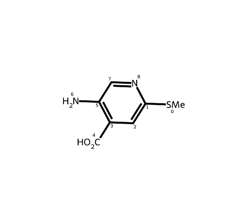 CSc1cc(C(=O)O)c(N)cn1